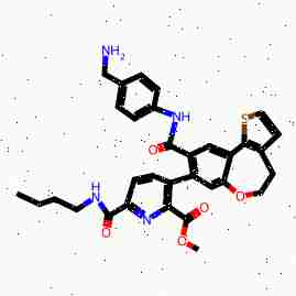 CCCCNC(=O)c1ccc(-c2cc3c(cc2C(=O)Nc2ccc(CN)cc2)-c2sccc2CCO3)c(C(=O)OC)n1